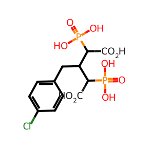 O=C(O)C(C(Cc1ccc(Cl)cc1)C(C(=O)O)P(=O)(O)O)P(=O)(O)O